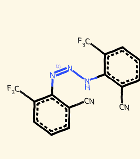 N#Cc1cccc(C(F)(F)F)c1/N=N\Nc1c(C#N)cccc1C(F)(F)F